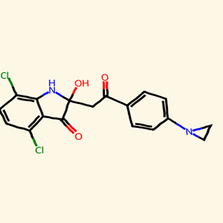 O=C(CC1(O)Nc2c(Cl)ccc(Cl)c2C1=O)c1ccc(N2CC2)cc1